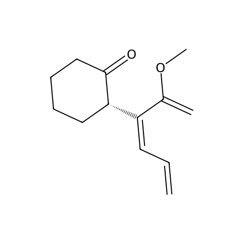 C=C/C=C(\C(=C)OC)[C@@H]1CCCCC1=O